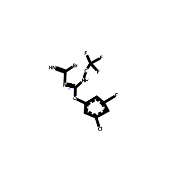 N=C(Br)/N=C(\NCC(F)(F)F)Oc1cc(F)cc(Cl)c1